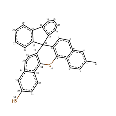 Cc1ccc2c3c(ccc2c1)C1(c2ccccc2-c2ccccc21)c1ccc2cc(S)ccc2c1S3